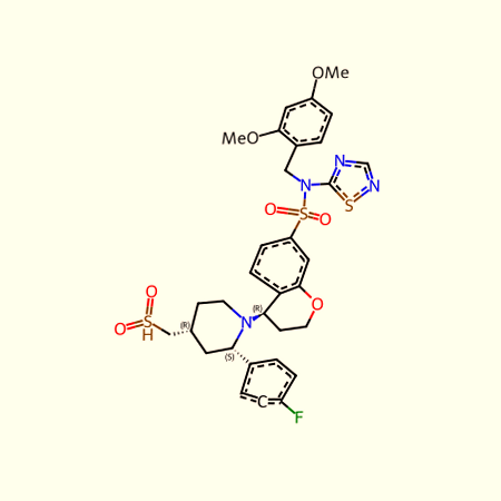 COc1ccc(CN(c2ncns2)S(=O)(=O)c2ccc3c(c2)OCC[C@H]3N2CC[C@@H](C[SH](=O)=O)C[C@H]2c2ccc(F)cc2)c(OC)c1